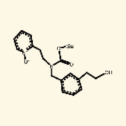 CC(C)(C)OC(=O)N(CCc1cccc[n+]1[O-])Cc1cccc(CCO)c1